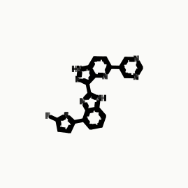 Fc1ccc(-c2cccc3[nH]c(-c4n[nH]c5ccc(-c6cncnc6)nc45)nc23)s1